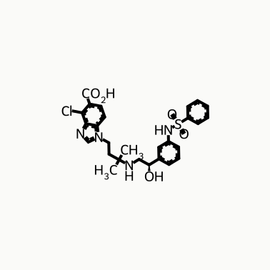 CC(C)(CCn1cnc2c(Cl)c(C(=O)O)ccc21)NC[C@H](O)c1cccc(NS(=O)(=O)c2ccccc2)c1